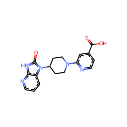 O=C(O)c1ccnc(N2CCC(n3c(=O)[nH]c4ncccc43)CC2)c1